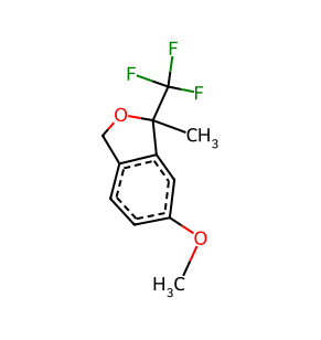 COc1ccc2c(c1)C(C)(C(F)(F)F)OC2